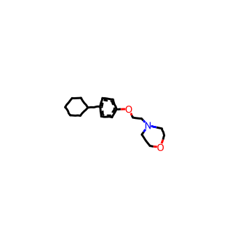 c1cc(C2CCCCC2)ccc1OCCN1CCOCC1